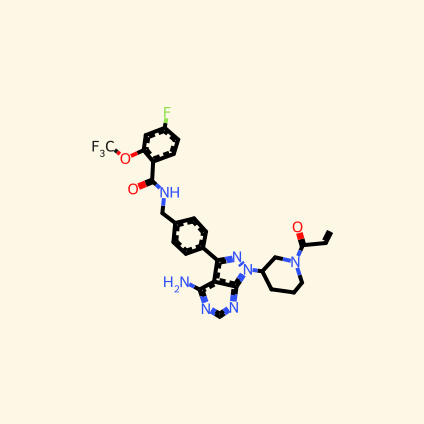 C=CC(=O)N1CCCC(n2nc(-c3ccc(CNC(=O)c4ccc(F)cc4OC(F)(F)F)cc3)c3c(N)ncnc32)C1